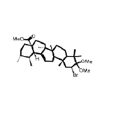 COC(=O)[C@]12CC[C@@H](C)[C@H](C)[C@H]1C1=CCC3[C@@]4(C)C[C@H](Br)C(OC)(OC)C(C)(C)C4CC[C@@]3(C)[C@]1(C)CC2